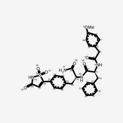 COc1ccc(CC(=O)N[C@@H](Cc2ccccc2)C(=O)N[C@@H](Cc2ccc(C3=CC(=O)NS3(=O)=O)cc2)C(N)=O)cc1